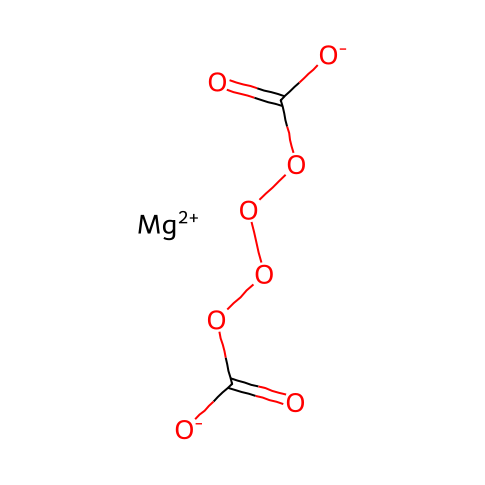 O=C([O-])OOOOC(=O)[O-].[Mg+2]